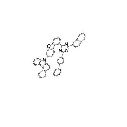 c1ccc(-c2ccc(-c3nc(-c4ccc5ccccc5c4)nc(-c4cccc5oc6cc(-n7c8ccccc8c8c9ccccc9ccc87)ccc6c45)n3)cc2)cc1